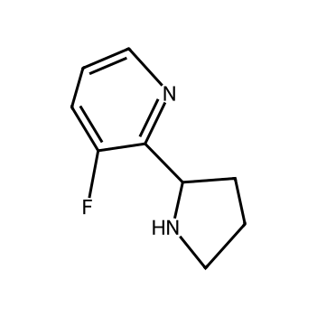 Fc1cccnc1C1CCCN1